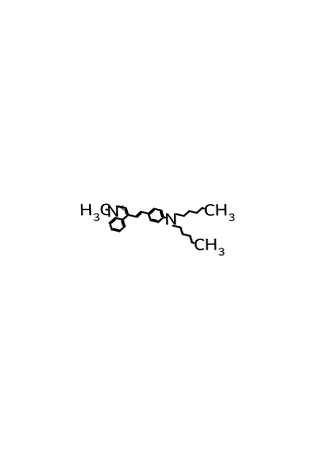 CCCCCCN(CCCCCC)c1ccc(C=Cc2cc[n+](C)c3ccccc23)cc1